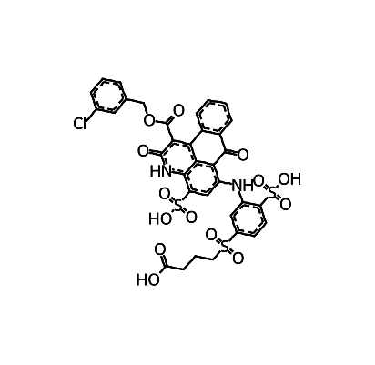 O=C(O)CCCS(=O)(=O)c1ccc(S(=O)(=O)O)c(Nc2cc(S(=O)(=O)O)c3[nH]c(=O)c(C(=O)OCc4cccc(Cl)c4)c4c3c2C(=O)c2ccccc2-4)c1